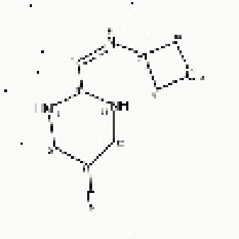 FC1CNC(/C=N\C2COC2)NC1